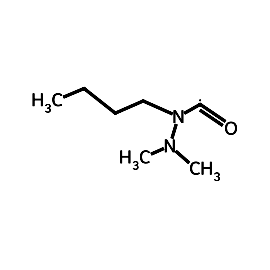 CCCCN([C]=O)N(C)C